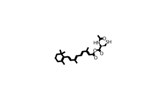 CC(=O)N[C@@H](CS)C(=O)OC(=O)C=C(C)C=CC=C(C)C=CC1=C(C)CCCC1(C)C